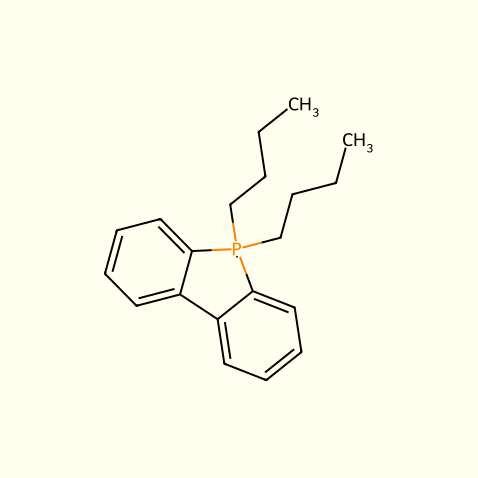 CCCC[P]1(CCCC)c2ccccc2-c2ccccc21